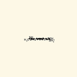 CC([SiH3])OCCCOCCCOCCCOCCOC(C)[SiH3]